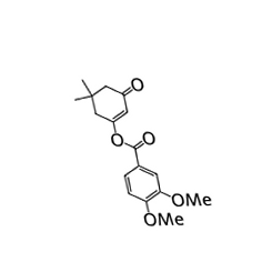 COc1ccc(C(=O)OC2=CC(=O)CC(C)(C)C2)cc1OC